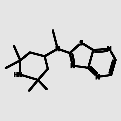 CN(c1nc2nccnc2s1)C1CC(C)(C)NC(C)(C)C1